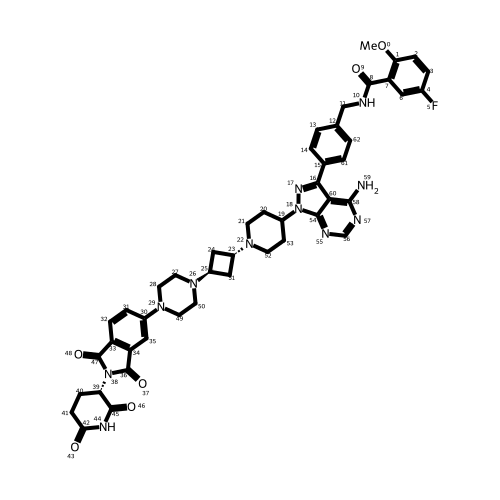 COc1ccc(F)cc1C(=O)NCc1ccc(-c2nn(C3CCN([C@H]4C[C@H](N5CCN(c6ccc7c(c6)C(=O)N([C@H]6CCC(=O)NC6=O)C7=O)CC5)C4)CC3)c3ncnc(N)c23)cc1